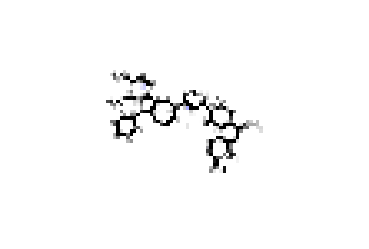 Bc1cc(C)c(/C=C\C=C)c2c1CCC(C(C)/C=C(\C)C1C=CCc3c(c(/C=C\CC)c(CC)n3-c3ccccc3)C1)C2=C